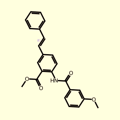 COC(=O)c1cc(/C=C/c2ccccc2)ccc1NC(=O)c1cccc(OC)c1